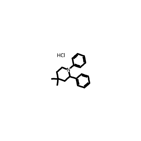 CC1(C)CCN(c2ccccc2)C(c2ccccc2)C1.Cl